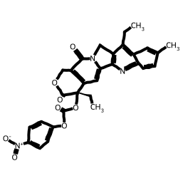 CCc1c2c(nc3ccc(C)cc13)-c1cc3c(c(=O)n1C2)COC(=O)[C@@]3(CC)OC(=O)Oc1ccc([N+](=O)[O-])cc1